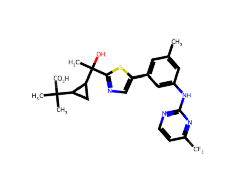 Cc1cc(Nc2nccc(C(F)(F)F)n2)cc(-c2cnc(C(C)(O)C3CC3C(C)(C)C(=O)O)s2)c1